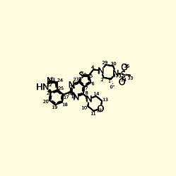 C[C@@H]1CN(Cc2cc3c(N4CCOCC4)nc(-c4cccc5[nH]ncc45)nc3s2)CCN1S(C)(=O)=O